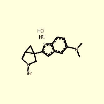 CC(C)N1CC2CC2(c2cc3cc(N(C)C)ccc3s2)C1.Cl.Cl